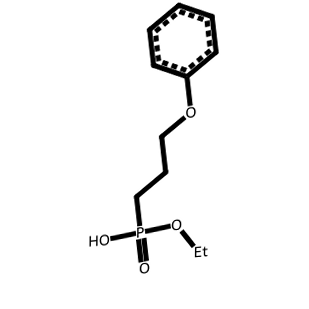 CCOP(=O)(O)CCCOc1ccccc1